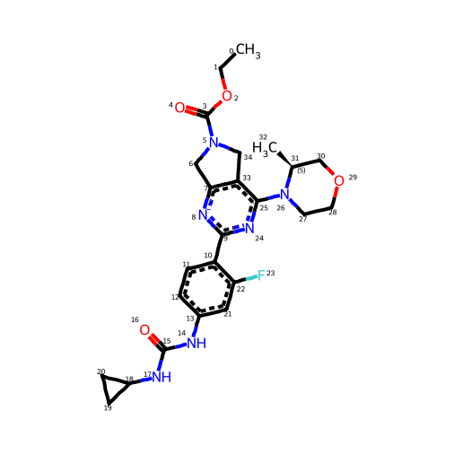 CCOC(=O)N1Cc2nc(-c3ccc(NC(=O)NC4CC4)cc3F)nc(N3CCOC[C@@H]3C)c2C1